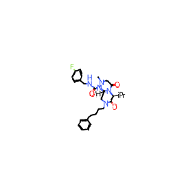 CC(C)[C@H]1C(=O)N(CCCCc2ccccc2)C[C@H]2N1C(=O)CN(C)N2C(=O)NCc1ccc(F)cc1